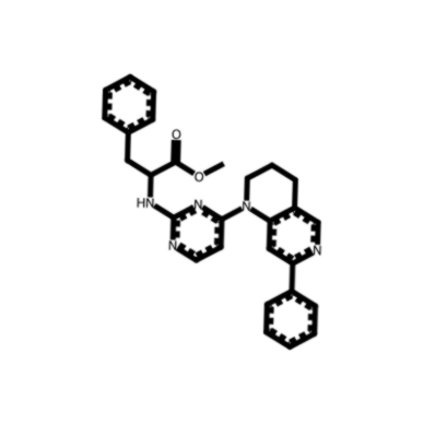 COC(=O)C(Cc1ccccc1)Nc1nccc(N2CCCc3cnc(-c4ccccc4)cc32)n1